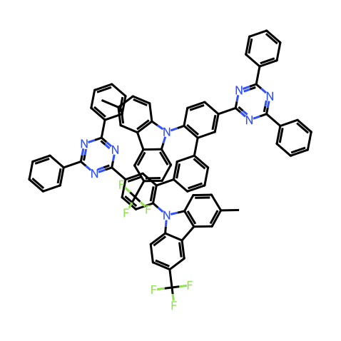 Cc1ccc2c(c1)c1cc(C(F)(F)F)ccc1n2-c1ccc(-c2nc(-c3ccccc3)nc(-c3ccccc3)n2)cc1-c1cccc(-c2cc(-c3nc(-c4ccccc4)nc(-c4ccccc4)n3)ccc2-n2c3ccc(C)cc3c3cc(C(F)(F)F)ccc32)c1